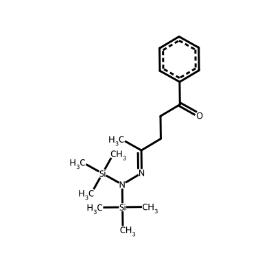 C/C(CCC(=O)c1ccccc1)=N\N([Si](C)(C)C)[Si](C)(C)C